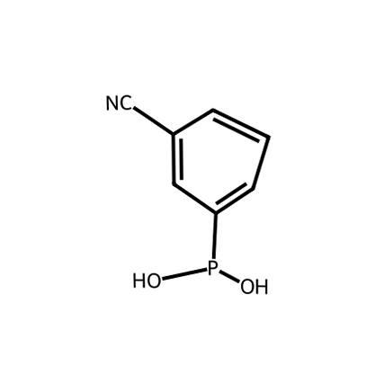 N#Cc1cccc(P(O)O)c1